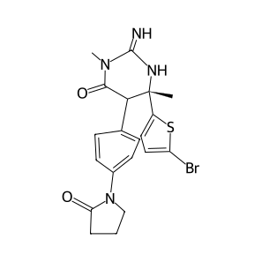 CN1C(=N)N[C@](C)(c2ccc(Br)s2)C(c2ccc(N3CCCC3=O)cc2)C1=O